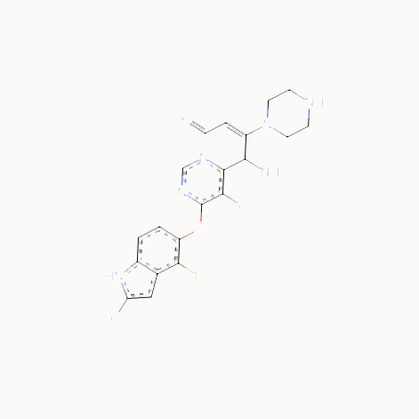 C=C/C=C(\C(N)c1ncnc(Oc2ccc3[nH]c(C)cc3c2F)c1Cl)N1CCNCC1